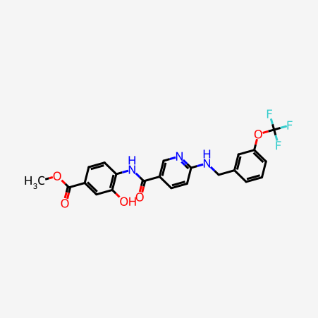 COC(=O)c1ccc(NC(=O)c2ccc(NCc3cccc(OC(F)(F)F)c3)nc2)c(O)c1